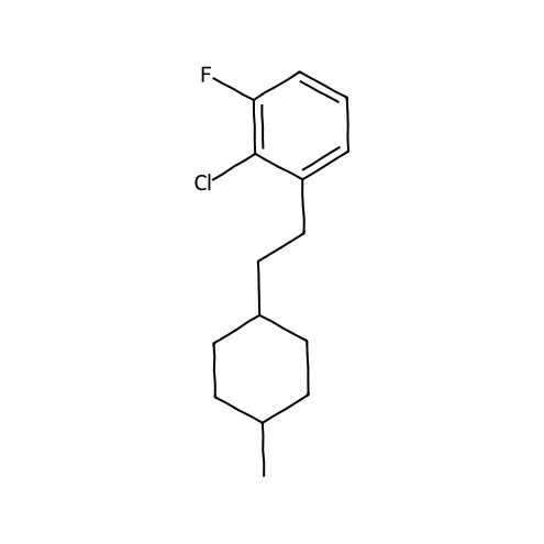 CC1CCC(CCc2cccc(F)c2Cl)CC1